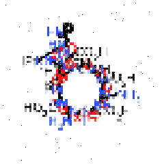 CCC(C)C1NC(=O)C(CCC(=O)O)NC(=O)C(CC(N)=O)NC(=O)CNC(=O)C(C(O)C(=O)O)NC(=O)C(CCCCN)NC(=O)C(CC(=O)O)NC(=O)C(C)NC(=O)CN(C)C(=O)C(NC(=O)C(CC(N)=O)NC(=O)C(CCC(=O)O)NC(=O)C(Cc2c[nH]c3ccccc23)NC(=O)CCCCCCC(C)C)C(C)OC1=O